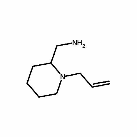 C=CCN1CCCCC1CN